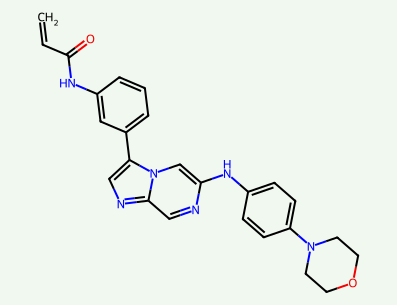 C=CC(=O)Nc1cccc(-c2cnc3cnc(Nc4ccc(N5CCOCC5)cc4)cn23)c1